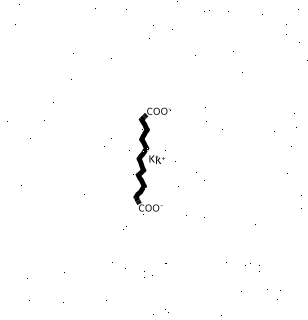 O=C([O-])CCCCCCCCCC(=O)[O-].[K+].[K+]